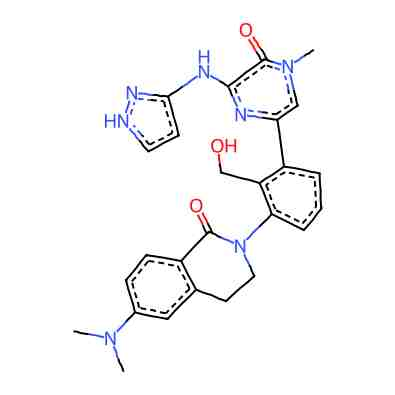 CN(C)c1ccc2c(c1)CCN(c1cccc(-c3cn(C)c(=O)c(Nc4cc[nH]n4)n3)c1CO)C2=O